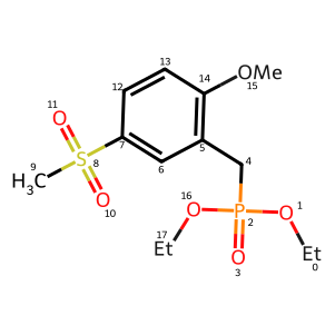 CCOP(=O)(Cc1cc(S(C)(=O)=O)ccc1OC)OCC